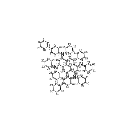 c1ccc(-c2ccc(N(c3ccccc3)c3cc(N(c4ccccc4)c4ccccc4)c4ccc5c(N(c6ccccc6)c6ccc(-c7ccccc7)cc6)cc(N(c6ccccc6)c6ccccc6)c6ccc3c4c65)cc2)cc1